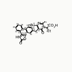 CCCCc1nc(C)n(C(CC)C(=O)O)c(=O)c1Cc1ccc(-c2ccccc2-c2noc(=O)[nH]2)cc1